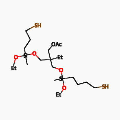 CCO[Si](C)(CCCS)OCC(CC)(COC(C)=O)CO[Si](C)(CCCCS)OCC